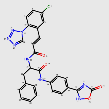 O=C(/C=C/c1cc(Cl)ccc1-n1cnnn1)NC(Cc1ccccc1)C(=O)Nc1ccc(-c2nc(=O)o[nH]2)cc1